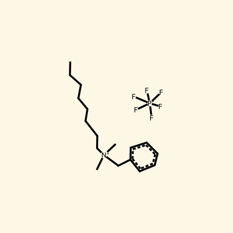 CCCCCCCC[N+](C)(C)Cc1ccccc1.F[P-](F)(F)(F)(F)F